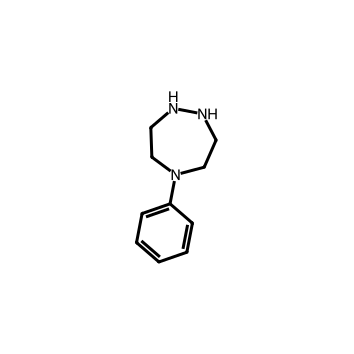 c1ccc(N2CCNNCC2)cc1